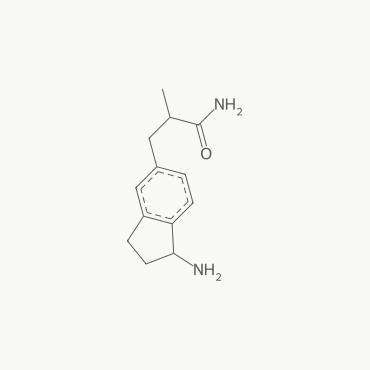 CC(Cc1ccc2c(c1)CCC2N)C(N)=O